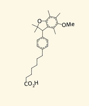 COc1c(C)c(C)c2c(c1C)C(c1ccc(CCCCCCC(=O)O)cc1)C(C)(C)O2